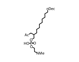 CCCCCCCCCCCCCCCCCCCC(COP(=O)(O)OCCNC)CC(C)=O